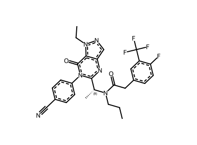 CCCN(C(=O)Cc1ccc(F)c(C(F)(F)F)c1)[C@H](C)c1nc2cnn(CC)c2c(=O)n1-c1ccc(C#N)cc1